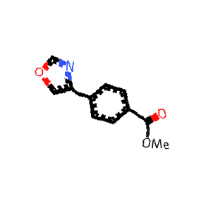 COC(=O)c1ccc(-c2cocn2)cc1